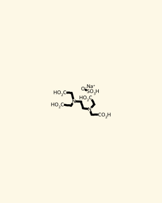 O=C(O)CN(CCN(CC(=O)O)CC(=O)O)CC(=O)O.O=S(=O)([O-])O.[Na+]